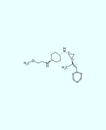 COCCN[C@H]1CC[C@H](N[C@@H]2C[C@H]2/C(C)=C/c2ccccc2)CC1